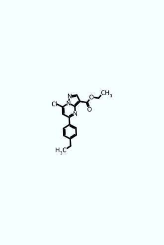 CCOC(=O)c1cnn2c(Cl)cc(-c3ccc(CC)cc3)nc12